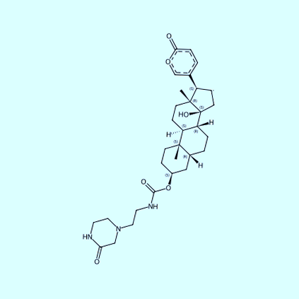 C[C@]12CC[C@H](OC(=O)NCCN3CCNC(=O)C3)C[C@H]1CC[C@@H]1[C@@H]2CC[C@]2(C)[C@@H](c3ccc(=O)oc3)[CH]C[C@]12O